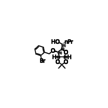 CCC[C@@H](O)[C@H]1O[C@@H]2OC(C)(C)O[C@@H]2[C@H]1OCc1ccccc1Br